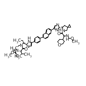 CC[C@@H](c1ncc(-c2ccc(-c3ccc4cc(-c5cnc([C@@H]6CC7(CC7)CN6C(=O)[C@@H](NCOC)C6CCOCC6)[nH]5)ccc4c3)cc2)[nH]1)N(CC)C(=O)[C@@H](NC(=O)OC)C(C)C